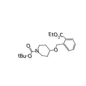 CCOC(=O)c1ccccc1COC1CCN(C(=O)OC(C)(C)C)CC1